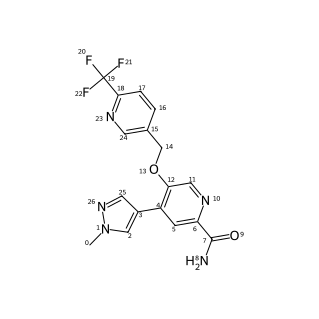 Cn1cc(-c2cc(C(N)=O)ncc2OCc2ccc(C(F)(F)F)nc2)cn1